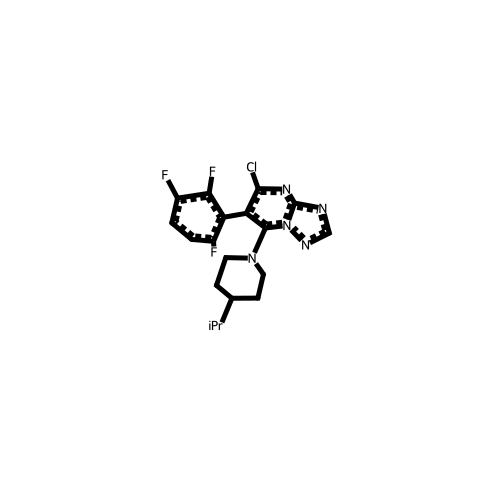 CC(C)C1CCN(c2c(-c3c(F)ccc(F)c3F)c(Cl)nc3ncnn23)CC1